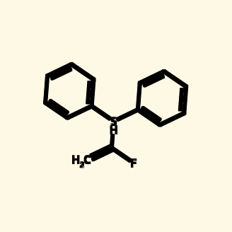 C=C(F)[SH](c1ccccc1)c1ccccc1